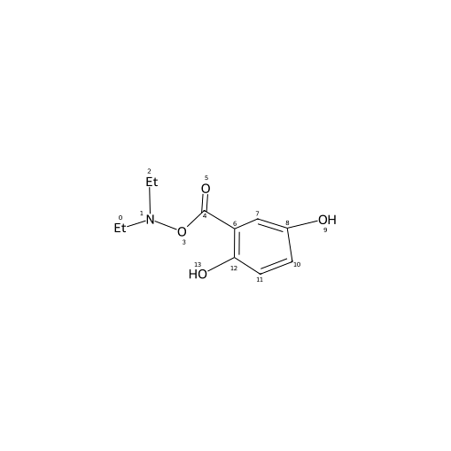 CCN(CC)OC(=O)c1cc(O)ccc1O